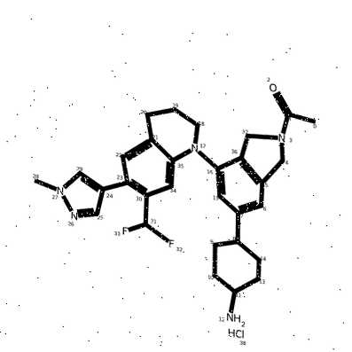 CC(=O)N1Cc2cc(C3CCC(N)CC3)cc(N3CCCc4cc(-c5cnn(C)c5)c(C(F)F)cc43)c2C1.Cl